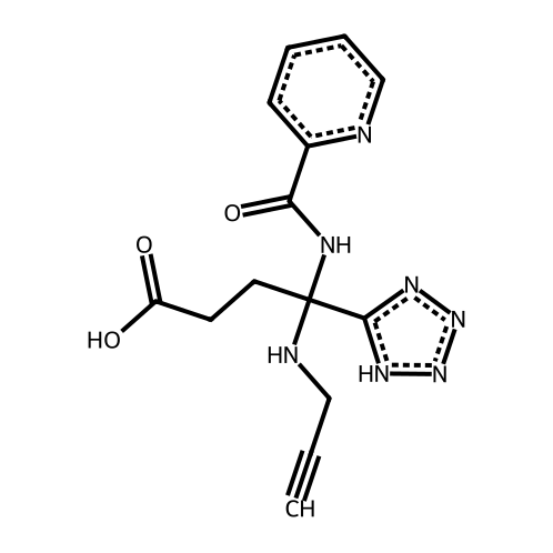 C#CCNC(CCC(=O)O)(NC(=O)c1ccccn1)c1nnn[nH]1